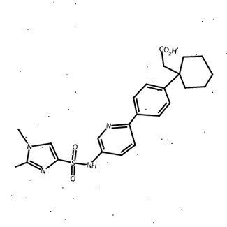 Cc1nc(S(=O)(=O)Nc2ccc(-c3ccc(C4(CC(=O)O)CCCCC4)cc3)nc2)cn1C